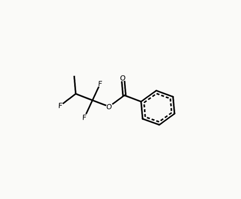 CC(F)C(F)(F)OC(=O)c1ccccc1